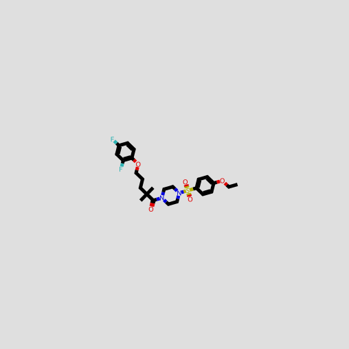 CCOc1ccc(S(=O)(=O)N2CCN(C(=O)C(C)(C)CCCOc3ccc(F)cc3F)CC2)cc1